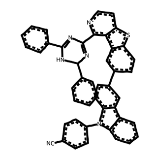 N#Cc1ccc(-n2c3ccccc3c3cc(-c4ccc5sc6ccnc(C7=NC(c8ccccc8)NC(c8ccccc8)=N7)c6c5c4)ccc32)cc1